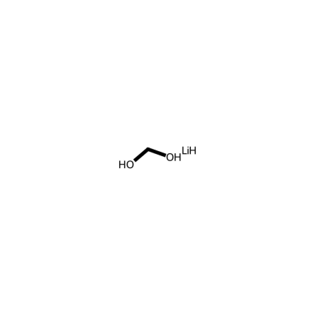 OCO.[LiH]